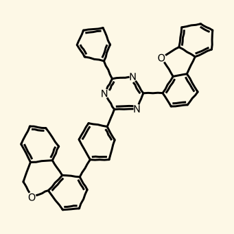 c1ccc(-c2nc(-c3ccc(-c4cccc5c4-c4ccccc4CO5)cc3)nc(-c3cccc4c3oc3ccccc34)n2)cc1